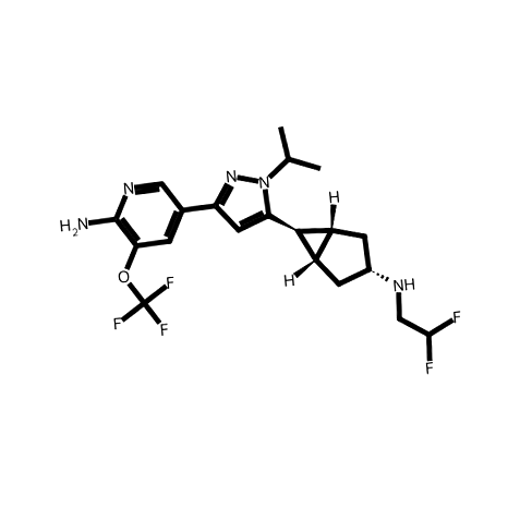 CC(C)n1nc(-c2cnc(N)c(OC(F)(F)F)c2)cc1[C@H]1[C@@H]2C[C@H](NCC(F)F)C[C@@H]21